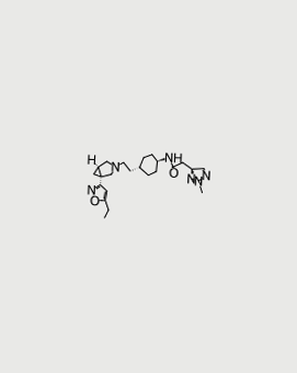 CCc1cc([C@]23C[C@H]2CN(CC[C@H]2CC[C@H](NC(=O)Cc4cnn(C)n4)CC2)C3)no1